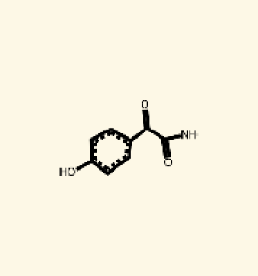 [NH]C(=O)C(=O)c1ccc(O)cc1